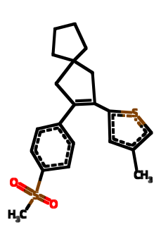 Cc1csc(C2=C(c3ccc(S(C)(=O)=O)cc3)CC3(CCCC3)C2)c1